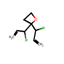 C=CC(Br)C1(C(Br)C=C)CCO1